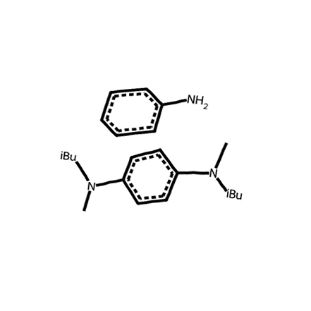 CCC(C)N(C)c1ccc(N(C)C(C)CC)cc1.Nc1ccccc1